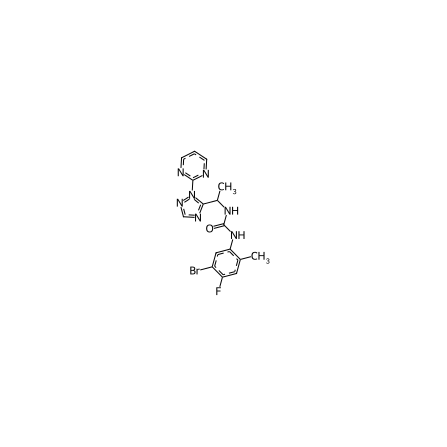 Cc1cc(F)c(Br)cc1NC(=O)NC(C)c1ncnn1-c1ncccn1